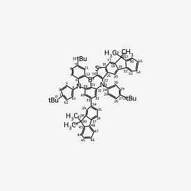 CC(C)(C)c1ccc(N2c3ccc(C(C)(C)C)cc3B3c4sc5cc6c(cc5c4N(c4ccc(C(C)(C)C)cc4)c4cc(-c5ccc7c(c5)C(C)(C)c5ccccc5-7)cc2c43)-c2ccccc2C6(C)C)cc1